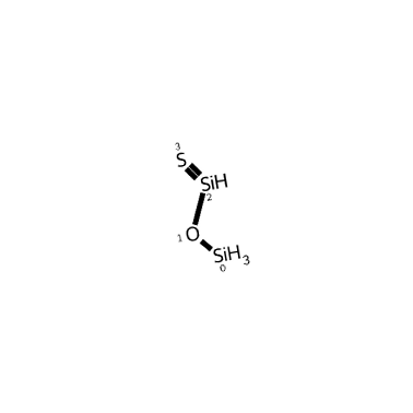 [SiH3]O[SiH]=S